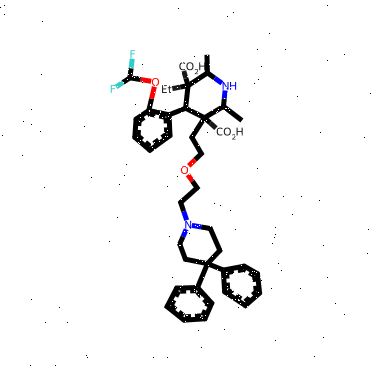 CCC1(C(=O)O)C(C)NC(C)C(CCOCCN2CCC(c3ccccc3)(c3ccccc3)CC2)(C(=O)O)C1c1ccccc1OC(F)F